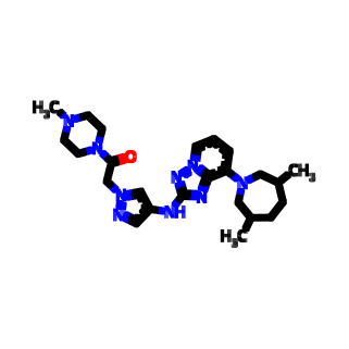 CC1CCC(C)CN(c2cccn3nc(Nc4cnn(CC(=O)N5CCN(C)CC5)c4)nc23)C1